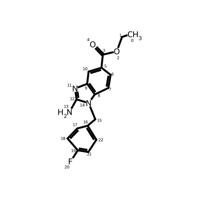 CCOC(=O)c1ccc2c(c1)nc(N)n2Cc1ccc(F)cc1